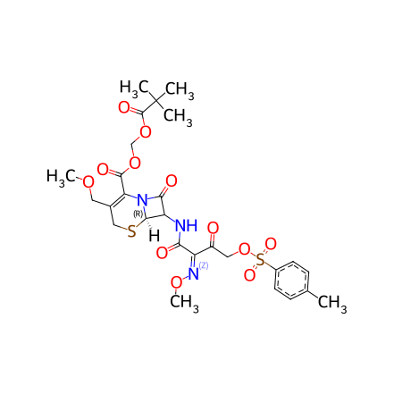 COCC1=C(C(=O)OCOC(=O)C(C)(C)C)N2C(=O)C(NC(=O)/C(=N\OC)C(=O)COS(=O)(=O)c3ccc(C)cc3)[C@H]2SC1